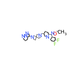 CCO/N=C(\c1ccc(F)c(F)c1)c1ccc(CN2CCC3(CCN(c4cnn5ncccc45)C3)C2)cn1